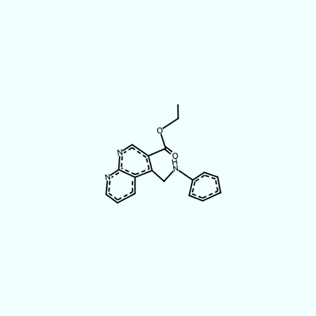 CCOC(=O)c1cnc2ncccc2c1CNc1ccccc1